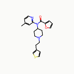 Cc1ccnc(N(C(=O)c2ccco2)C2CCN(CCc3ccsc3)CC2)c1